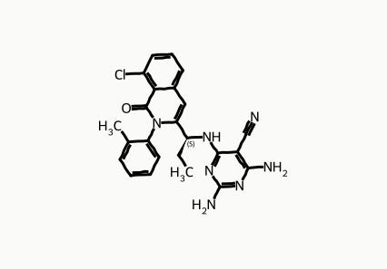 CC[C@H](Nc1nc(N)nc(N)c1C#N)c1cc2cccc(Cl)c2c(=O)n1-c1ccccc1C